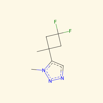 Cn1nncc1C1(C)CC(F)(F)C1